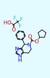 O=C(O)C(F)(F)F.O=C(OC1CCCC1)N1CCc2[nH]cnc2C1c1ccccc1